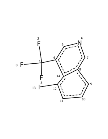 FC(F)(F)c1cncc2cccc(I)c12